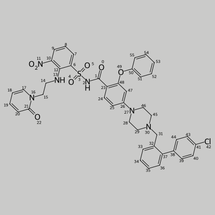 O=C(NS(=O)(=O)c1cccc([N+](=O)[O-])c1NCCn1ccccc1=O)c1ccc(N2CCN(Cc3ccccc3-c3ccc(Cl)cc3)CC2)cc1Oc1ccccc1